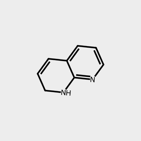 C1=Cc2cccnc2NC1